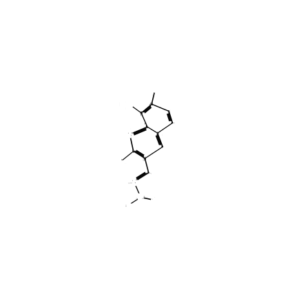 Cc1c(F)ccc2cc(/C=N/[S+]([O-])C(C)(C)C)c(Cl)nc12